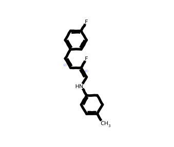 CC1=CC=C(N/C=C(F)\C=C/c2ccc(F)cc2)CC1